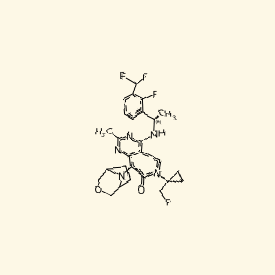 Cc1nc(N[C@H](C)c2cccc(C(F)F)c2F)c2cn(C3(CF)CC3)c(=O)c(N3C4CCC3COC4)c2n1